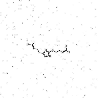 FC(F)=CCCSc1nc(CCC=C(F)F)c[nH]1